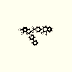 O=C(O[C@H](Cc1ccc(Cl)c(Cl)c1)C(=O)N1CCC(N2CCCCC2)CC1)N1CCC(N2CCc3ccccc3NC2=O)CC1